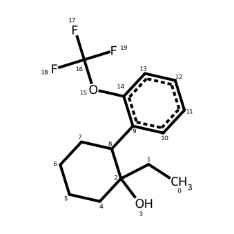 CCC1(O)CCCCC1c1ccccc1OC(F)(F)F